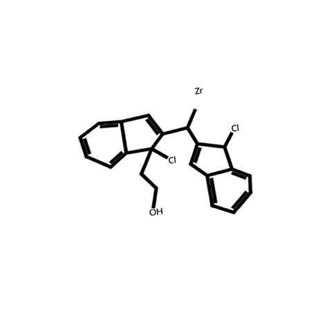 CC(C1=Cc2ccccc2C1Cl)C1=Cc2ccccc2C1(Cl)CCO.[Zr]